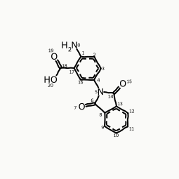 Nc1ccc(N2C(=O)c3ccccc3C2=O)cc1C(=O)O